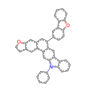 c1ccc(-n2c3ccccc3c3cc4c(-c5ccc6oc7ccccc7c6c5)cc5cc6occc6cc5c4cc32)cc1